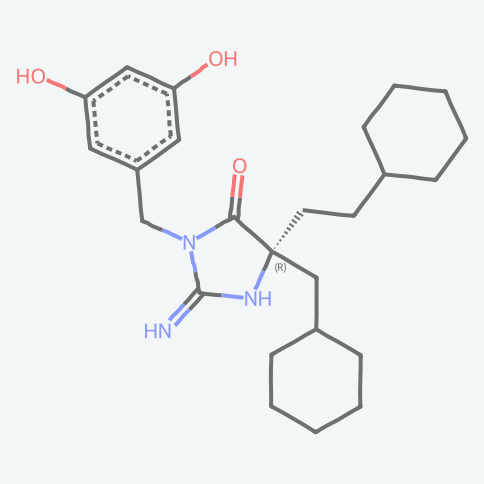 N=C1N[C@](CCC2CCCCC2)(CC2CCCCC2)C(=O)N1Cc1cc(O)cc(O)c1